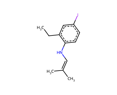 CCc1cc(I)ccc1NC=C(C)C